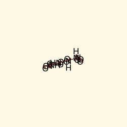 C=C(C)C(=O)OCCN(C(=O)NCCCCCCNC(=O)OCCCCOC(=O)NCCCCCCNC(=O)N(CCOC(=O)C(=C)C)C(C)(C)C)C(C)(C)C